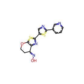 O/N=C1\CCOc2sc(-c3cnc(-c4cccnc4)s3)nc21